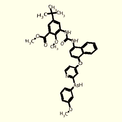 COC(=O)c1cc(C(C)(C)C)cc(NC(=O)Nc2ccc(Oc3ccnc([AsH]c4cccc(OC)c4)c3)c3ccccc23)c1OC